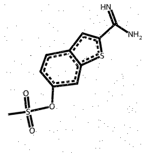 CS(=O)(=O)Oc1ccc2cc(C(=N)N)sc2c1